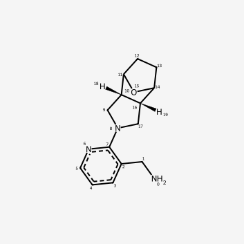 NCc1cccnc1N1C[C@@H]2C3CCC(O3)[C@@H]2C1